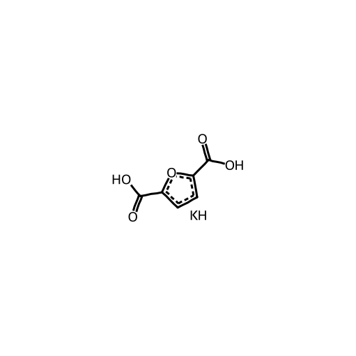 O=C(O)c1ccc(C(=O)O)o1.[KH]